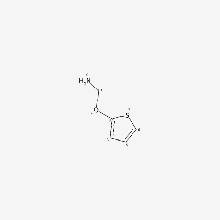 N[CH]Oc1cccs1